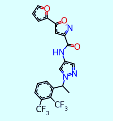 CC(c1cccc(C(F)(F)F)c1C(F)(F)F)n1cc(NC(=O)c2cc(-c3ccco3)on2)cn1